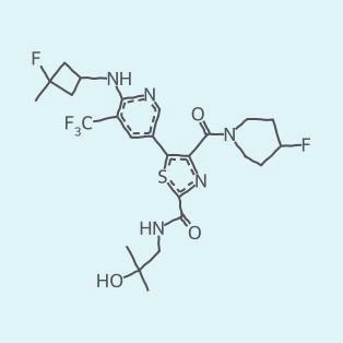 CC(C)(O)CNC(=O)c1nc(C(=O)N2CCC(F)CC2)c(-c2cnc(NC3CC(C)(F)C3)c(C(F)(F)F)c2)s1